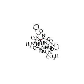 CCC(C)[C@H](NC)C(=O)N[C@@H](N)C(=O)N(C)C(Cc1ccccc1)C(=O)N(C)[C@H](C(=O)NC(CC(=O)N(C)C(C)C(=O)O)C(=O)N1CCCCC1)C(C)C